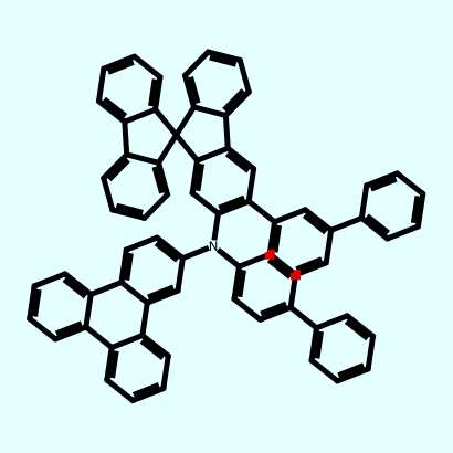 c1ccc(-c2ccc(N(c3ccc4c5ccccc5c5ccccc5c4c3)c3cc4c(cc3-c3cccc(-c5ccccc5)c3)-c3ccccc3C43c4ccccc4-c4ccccc43)cc2)cc1